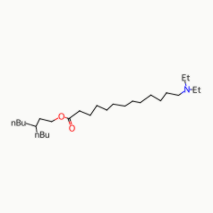 CCCCC(CCCC)CCOC(=O)CCCCCCCCCCCCN(CC)CC